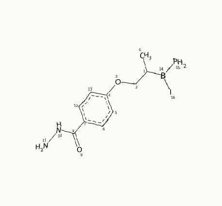 CC(COc1ccc(C(=O)NN)cc1)B(P)I